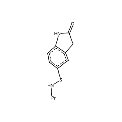 CC(C)NSc1ccc2c(c1)CC(=O)N2